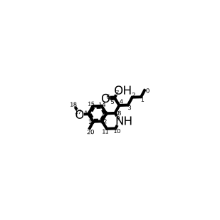 CCCCC(C(=O)O)C1NCCc2c1ccc(OC)c2C